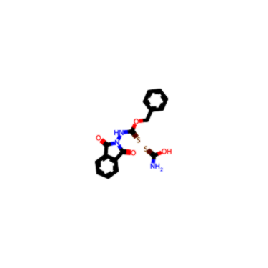 NC(O)=S.O=C1c2ccccc2C(=O)N1NC(=S)OCc1ccccc1